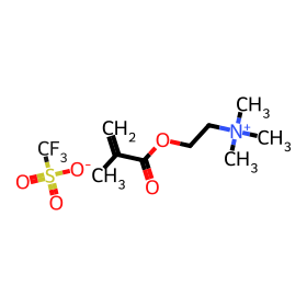 C=C(C)C(=O)OCC[N+](C)(C)C.O=S(=O)([O-])C(F)(F)F